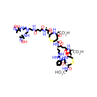 C/C(=N/O)C(C)(C)NCCN(CCNC(=O)CCC(=O)N[C@@H](C)C(=O)C[C@H]1CSSC[C@@H](C(=O)N[C@@H](CCCNC(=N)N)C(=O)CCC(=O)N[C@@H](CC(=O)O)C(=O)C[C@H]2CSSC[C@@H](C(=O)NCC(=O)O)CC(=O)[C@H](Cc3ccccc3)NC2=O)CC(=O)[C@H](CC(=O)O)NC1=O)CCNC(C)(C)/C(C)=N\O